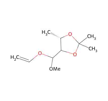 C=COC(OC)C1OC(C)(C)O[C@H]1C